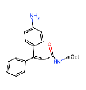 CCCCCCCCNC(=O)C=C(c1ccccc1)c1ccc(N)cc1